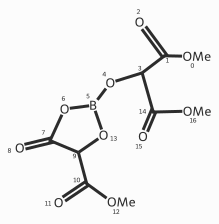 COC(=O)C(OB1OC(=O)C(C(=O)OC)O1)C(=O)OC